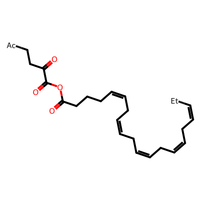 CC/C=C\C/C=C\C/C=C\C/C=C\C/C=C\CCCC(=O)OC(=O)C(=O)CCC(C)=O